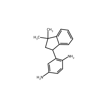 CC1(C)CC(c2cc(N)ccc2N)c2ccccc21